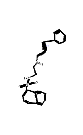 O=S(=O)(NCCNC/C=C/c1ccccc1)c1cccc2ccccc12